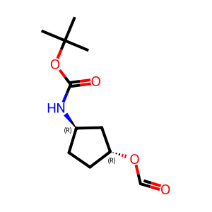 CC(C)(C)OC(=O)N[C@@H]1CC[C@@H](OC=O)C1